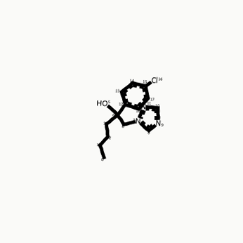 CCCCC(O)(Cn1cncn1)c1ccc(Cl)cc1